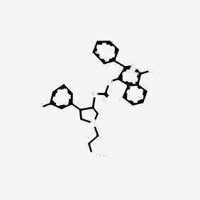 COCCN1CC(NC(=O)Nc2c(-c3ccccc3)nc(C)c3ccccc23)C(c2cccc(F)c2)C1